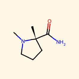 CN1CCC[C@@]1(C)C(N)=O